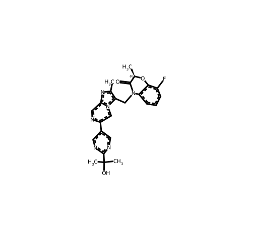 Cc1nc2cnc(-c3cnc(C(C)(C)O)nc3)cn2c1CN1C(=O)[C@@H](C)Oc2c(F)cccc21